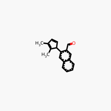 CC1=C(C)C(c2cc3ccccc3cc2C=O)C=C1